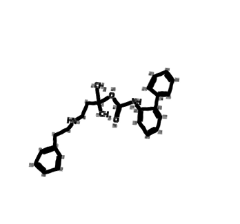 CC(C)(CCNCCc1ccccc1)OC(=O)Nc1ccccc1-c1ccccc1